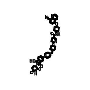 N#Cc1ccc(O[C@H]2CC[C@@H](NC(=O)c3ccc(N4CCC(CN5CCN(c6ccc7c(c6)C(=O)N(C6CCC(=O)NC6=O)C7O)CC5)CC4)nc3)CC2)c2cccnc12